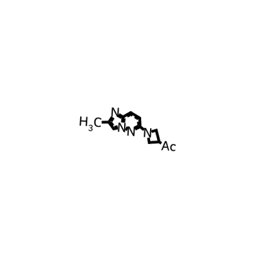 CC(=O)C1CN(c2ccc3nc(C)cn3n2)C1